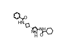 O=C(N[C@H]1C[C@@H](c2cc(NC(=O)C3CCCCC3)[nH]n2)C1)c1ccccc1